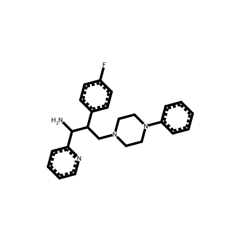 NC(c1ccccn1)C(CN1CCN(c2ccccc2)CC1)c1ccc(F)cc1